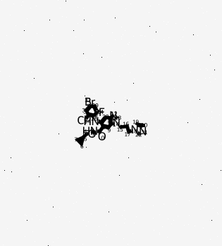 O=C(NOCC1CC1)c1cc2c(ncn2CCCn2ccnc2)c(F)c1Nc1ccc(Br)cc1Cl